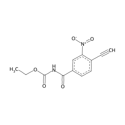 C#Cc1ccc(C(=O)NC(=O)OCC)cc1[N+](=O)[O-]